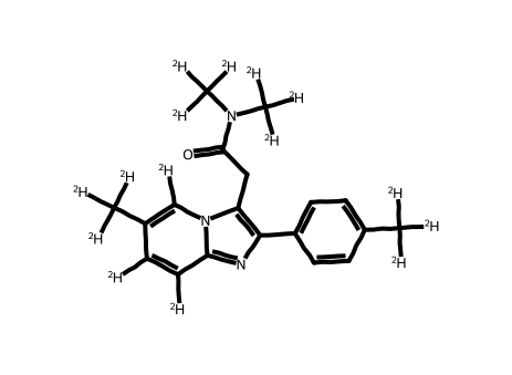 [2H]c1c(C([2H])([2H])[2H])c([2H])n2c(CC(=O)N(C([2H])([2H])[2H])C([2H])([2H])[2H])c(-c3ccc(C([2H])([2H])[2H])cc3)nc2c1[2H]